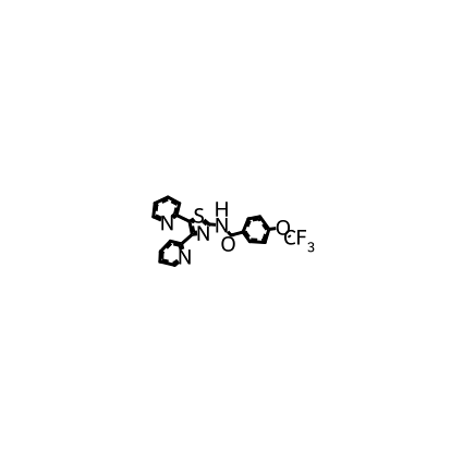 O=C(Nc1nc(-c2ccccn2)c(-c2ccccn2)s1)c1ccc(OC(F)(F)F)cc1